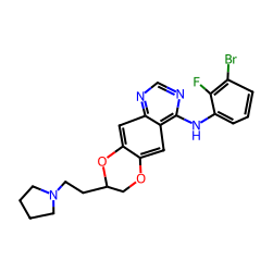 Fc1c(Br)cccc1Nc1ncnc2cc3c(cc12)OCC(CCN1CCCC1)O3